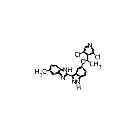 Cc1ccc2[nH]c(-c3n[nH]c4ccc(OC(C)c5c(Cl)cncc5Cl)cc34)nc2c1